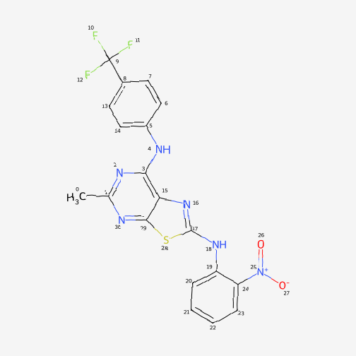 Cc1nc(Nc2ccc(C(F)(F)F)cc2)c2nc(Nc3ccccc3[N+](=O)[O-])sc2n1